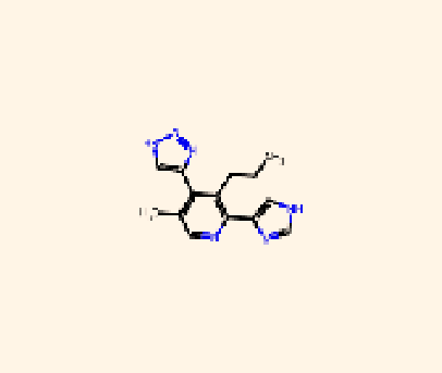 CCCc1c(-c2c[nH]cn2)ncc(C)c1-c1c[nH]nn1